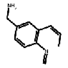 C=Nc1ccc(CN)cc1/C=C\C